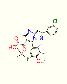 Cc1nc2cc(-c3cccc(Cl)c3)nn2c(-c2cc(F)c3c(c2C)CCCO3)c1[C@H](OC(C)(C)C)C(=O)O